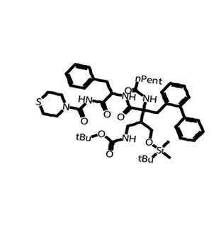 CCCCCC(=O)NC(Cc1ccccc1-c1ccccc1)(C(=O)NC(Cc1ccccc1)C(=O)NC(=O)N1CCSCC1)C(CNC(=O)OC(C)(C)C)CO[Si](C)(C)C(C)(C)C